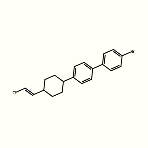 Cl/C=C/C1CCC(c2ccc(-c3ccc(Br)cc3)cc2)CC1